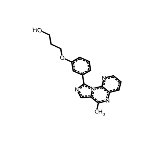 Cc1nc2cccnc2n2c(-c3cccc(OCCCO)c3)ncc12